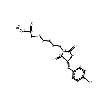 CC(C)c1ccc(/C=C2\CC(=O)N(CCCCCCC(=O)NO)C2=O)cc1